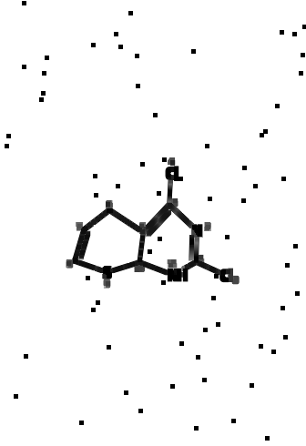 ClC1=NC(Cl)=C2CC=CSC2N1